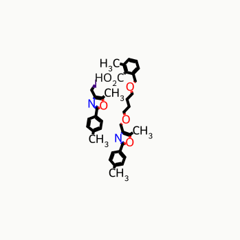 Cc1ccc(-c2nc(CI)c(C)o2)cc1.Cc1ccc(-c2nc(COCCCCOCc3cccc(C)c3C(=O)O)c(C)o2)cc1